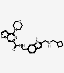 O=C(NCc1ccc2cc(CNCC3CCC3)[nH]c2c1)c1cn2nccc2c(N2CCOCC2)n1